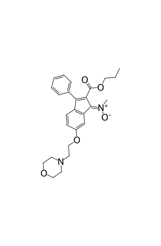 CCCOC(=O)C1=C(c2ccccc2)c2ccc(OCCN3CCOCC3)cc2/C1=[N+](/C)[O-]